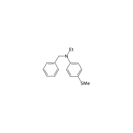 CCN(Cc1ccccc1)c1ccc(SC)cc1